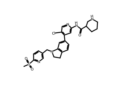 CS(=O)(=O)c1ccc(CN2CCc3ccc(-c4cc(NC(=O)C5CCCNC5)ncc4Cl)cc32)cn1